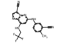 Cc1ccc(Nc2cc(NCC(F)(F)F)c3ncc(C#N)n3n2)cc1C#N